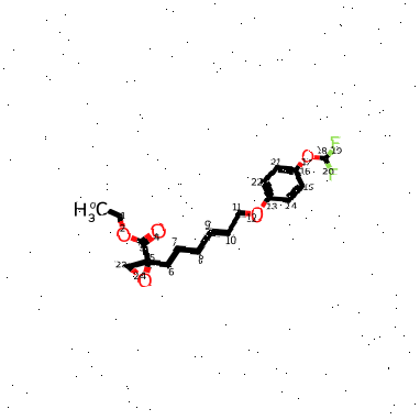 CCOC(=O)C1(CCCCCCOc2ccc(OC(F)F)cc2)CO1